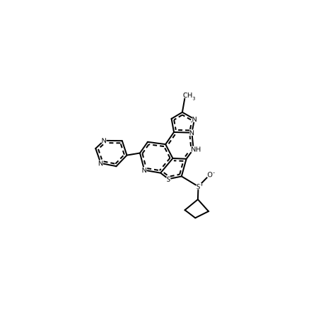 Cc1cc2c3cc(-c4cncnc4)nc4sc([S+]([O-])C5CCC5)c([nH]n2n1)c43